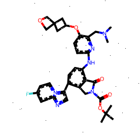 CN(C)Cc1nc(Nc2ccc(-c3cnc4cc(F)ccn34)c3c2C(=O)N(C(=O)OC(C)(C)C)C3)ccc1OC1CC2(COC2)C1